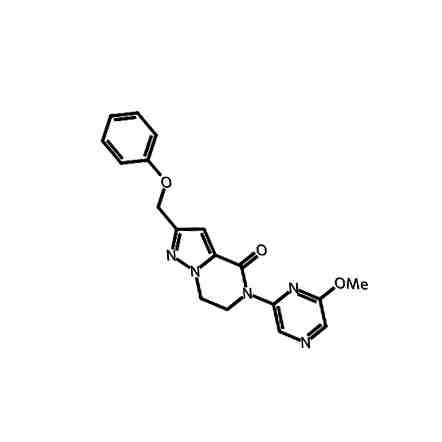 COc1cncc(N2CCn3nc(COc4ccccc4)cc3C2=O)n1